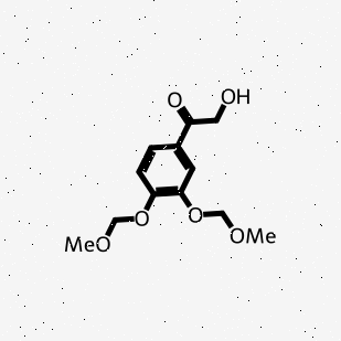 COCOc1ccc(C(=O)CO)cc1OCOC